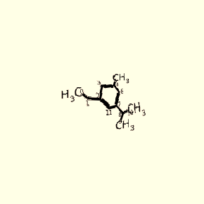 CCc1cc(C)cc([C](C)C)c1